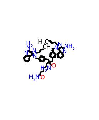 CCCCc1nc2c(N)nc3ccccc3c2n1Cc1ccc(CC(CCCCCC(N)=O)(Cc2ccc(Cn3c(CCCC)nc4c(N)nc5ccccc5c43)cc2)C(N)=O)cc1